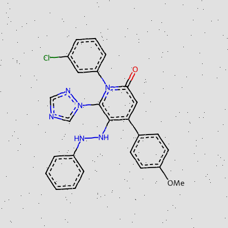 COc1ccc(-c2cc(=O)n(-c3cccc(Cl)c3)c(-n3cncn3)c2NNc2ccccc2)cc1